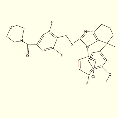 COc1cc(C2(C)CCCc3nc(SCc4c(F)cc(C(=O)N5CCOCC5)cc4F)n(-c4ccc(F)cc4)c32)ccc1Cl